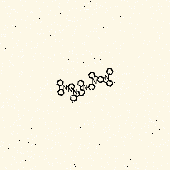 C1=Cc2c(c3c(ccc4c5c(n(-c6cccc(-n7c8ccccc8c8ccccc87)n6)c43)CCC=C5)n2-c2cccc(-n3c4ccccc4c4cc5c(cc43)c3ccccc3n5-c3ccccc3)c2)CC1